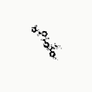 Cc1ccc([C@@H](Oc2ccc(C(=O)N[C@H]3CCCN(C(=O)O[C@H]4CCOC4=O)C3)nc2)[C@H](C)NC(=O)C(F)(F)F)cc1